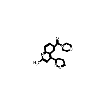 Cc1cc(C2=NN=CCC2)c2cc(C(=O)N3CCOCC3)ccc2n1